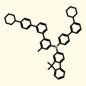 Cc1cc(-c2cccc(-c3ccc(C4CCCCC4)cc3)c2)cc(N(c2ccc(-c3cccc(C4CCCCC4)c3)cc2)c2ccc3c(c2)C(C)(C)c2ccccc2-3)c1